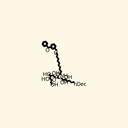 CCCCCCCCCCCCCC[C@@H](O)[C@@H](O)[C@H](COC1OC(CO)C(O)C(O)C1O)NC(=O)CCCCCCCCCOCc1cccc(C(=O)c2ccccc2)c1